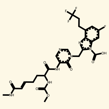 CNC(=O)C=CCCC(NC(=O)OC)C(=O)Nc1cncn(Cc2nc3c(CCC(F)(F)F)cc(F)cc3n2C(=O)O)c1=O